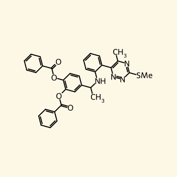 CSc1nnc(-c2ccccc2NC(C)c2ccc(OC(=O)c3ccccc3)c(OC(=O)c3ccccc3)c2)c(C)n1